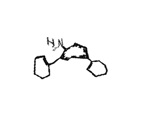 Nc1ccc(C2=CCCCC2)cc1C1=CCCCC1